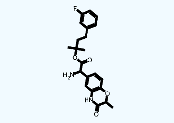 CC1Oc2ccc(C(N)C(=O)OC(C)(C)CCc3cccc(F)c3)cc2NC1=O